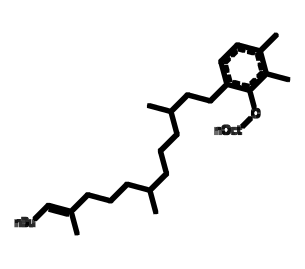 CCCC/C=C(\C)CCCC(C)CCCC(C)CCc1ccc(C)c(C)c1OCCCCCCCC